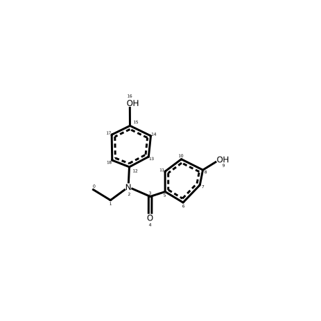 CCN(C(=O)c1ccc(O)cc1)c1ccc(O)cc1